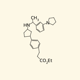 CCOC(=O)CCc1ccc(C2CCC(NC(C)c3cccc(N4CCCC4)c3)C2)cc1